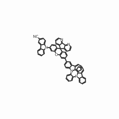 N#Cc1ccc2c(c1)c1ccccc1n2-c1ccc2c(c1)Oc1cc(-c3ccc4c(c3)c3ccccc3n4-c3ccccc3-n3c4ccccc4c4ccccc43)ccc1C21c2cccnc2-c2ncccc21